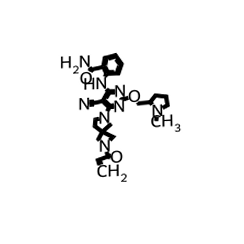 C=CC(=O)N1CC2(CCN(c3nc(OCC4CCCN4C)nc(Nc4ccccc4C(N)=O)c3C#N)C2)C1